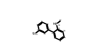 CCc1cccc(-c2ccccc2PC)c1